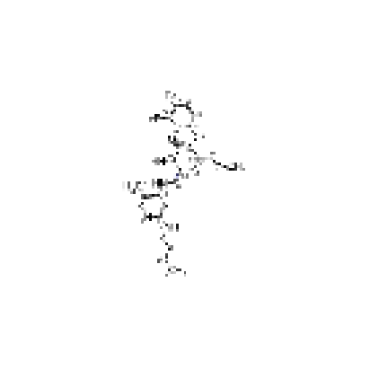 COCCNc1ncc(C)c(N/C=C2/C[C@H](COC)N(Cc3ccc(F)c(F)c3)C(=O)C2=N)n1